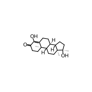 C[C@]12CCC(=O)C(O)=C1CC[C@@H]1[C@@H]2CC[C@@]2(C)[C@H]1CC[C@@]2(C)O